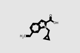 C=Cc1ccc2cc(C(=O)O)n(CC3CC3)c2c1